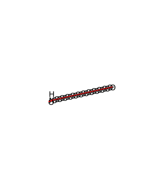 C=CC(=O)NCCOCCOCCOCCOCCOCCOCCOCCOCCOCCOCCOCCOCCOCCOCCOCCOCCOCCOCCOCCOCCOCCOCCOC